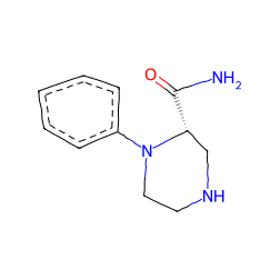 NC(=O)[C@@H]1CNCCN1c1ccccc1